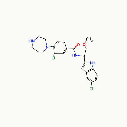 COCC(NC(=O)c1ccc(N2CCCNCC2)c(Cl)c1)c1cc2cc(Cl)ccc2[nH]1